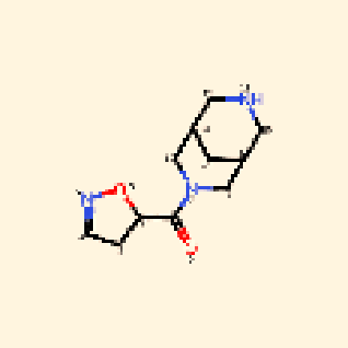 O=C(C1CC=NO1)N1CC2CNCC(C2)C1